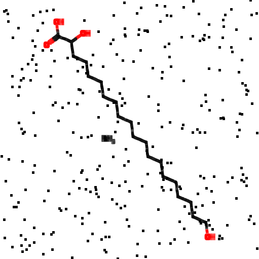 O=C(O)C(O)CCCCCCCCCCCCCCCCCCO.[BiH3]